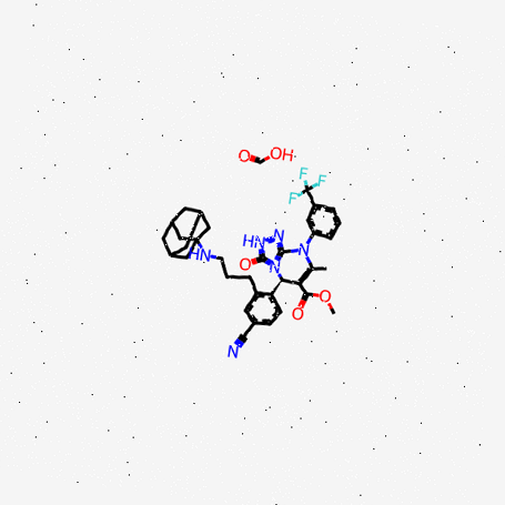 COC(=O)C1=C(C)N(c2cccc(C(F)(F)F)c2)c2n[nH]c(=O)n2[C@@H]1c1ccc(C#N)cc1CCCNC12CC3CC(CC(C3)C1)C2.O=CO